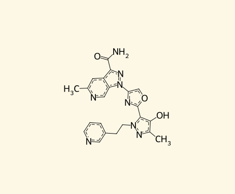 Cc1cc2c(C(N)=O)nn(-c3coc(-c4c(O)c(C)nn4CCc4cccnc4)n3)c2cn1